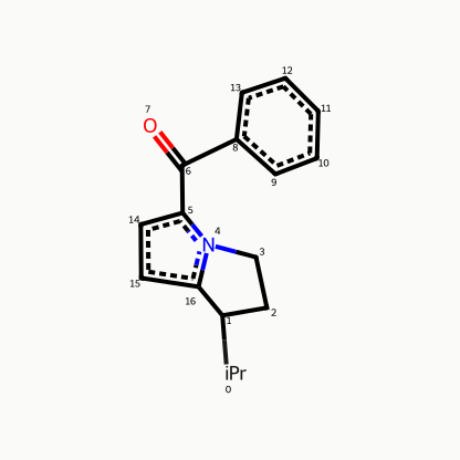 CC(C)C1CCn2c(C(=O)c3ccccc3)ccc21